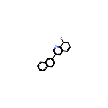 CC1CC=Cc2cc(-c3ccc4ccccc4c3)cnc21